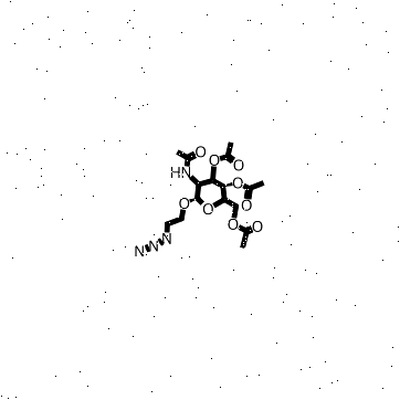 CC(=O)NC1C(OC(C)=O)[C@@H](OC(C)=O)C(COC(C)=O)O[C@H]1OCCN=[N+]=[N-]